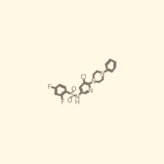 O=S(=O)(Nc1cnc(N2CCN(c3ccccc3)CC2)c(Cl)c1)c1ccc(F)cc1F